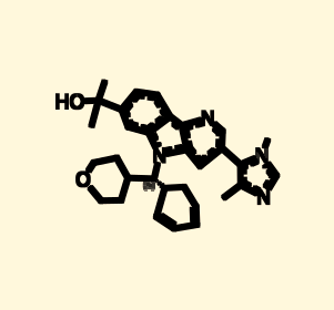 Cc1ncn(C)c1-c1cnc2c3ccc(C(C)(C)O)cc3n([C@H](C3C=CC=CC3)C3CCOCC3)c2c1